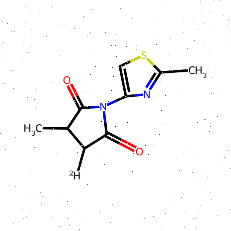 [2H]C1C(=O)N(c2csc(C)n2)C(=O)C1C